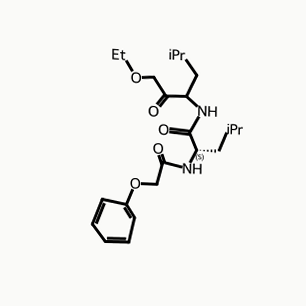 CCOCC(=O)C(CC(C)C)NC(=O)[C@H](CC(C)C)NC(=O)COc1ccccc1